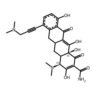 CN(C)CC#Cc1ccc(O)c2c1CC1CC3[C@H](N(C)C)C(O)=C(C(N)=O)C(=O)[C@@]3(O)C(O)=C1C2=O